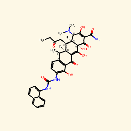 CCC(=O)C[C@@H]1[C@H]2C(=C(O)[C@]3(O)C(=O)C(C(N)=O)=C(O)[C@H](N(C)C)[C@H]13)C(=O)c1c(ccc(NC(=O)Nc3cccc4ccccc34)c1O)[C@H]2C